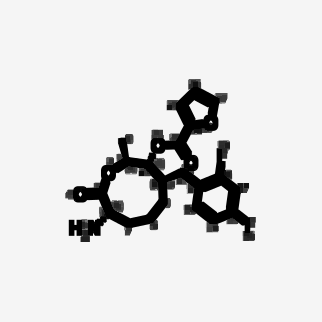 C[C@@H]1OC(=O)[C@@H](N)CCC[C@H](Cc2ccc(F)cc2F)[C@H]1OC(=O)c1ccco1